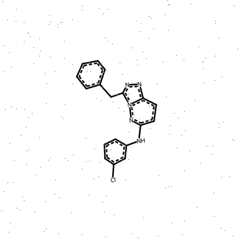 Clc1cccc(Nc2ccc3nnc(Cc4ccccc4)n3n2)c1